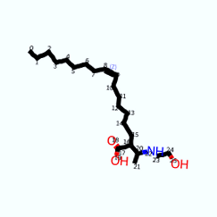 CCCCCCCC/C=C\CCCCCCC(C(=O)O)C(C)NCCO